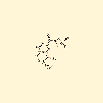 CC(C)(C)C1c2cc(C(=O)N3CC(F)(F)C3)ccc2CCN1C(=O)O